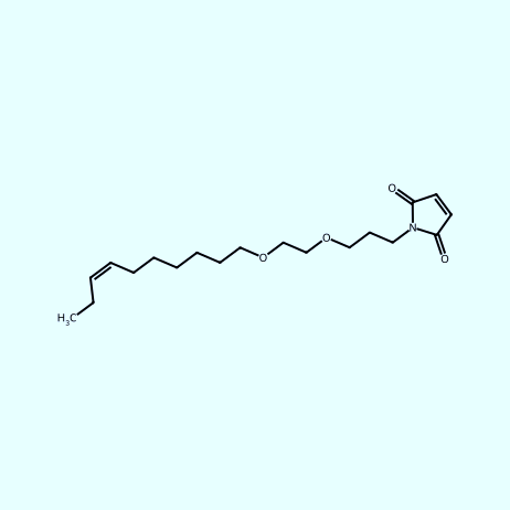 CC/C=C\CCCCCCOCCOCCCN1C(=O)C=CC1=O